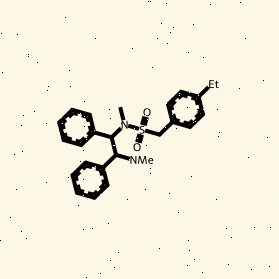 CCc1ccc(CS(=O)(=O)N(C)C(c2ccccc2)C(NC)c2ccccc2)cc1